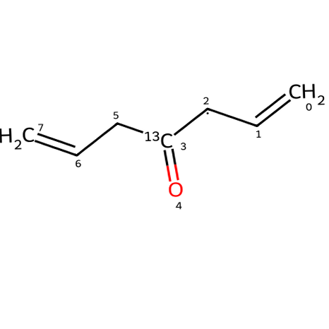 C=C[CH][13C](=O)CC=C